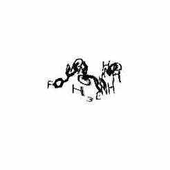 C[C@@H]1CN(CC(=O)N2CCOc3ncc(Cc4ccc(F)cc4)cc32)[C@@H](CN2C[C@H]3C[C@@H]2CO3)CN1